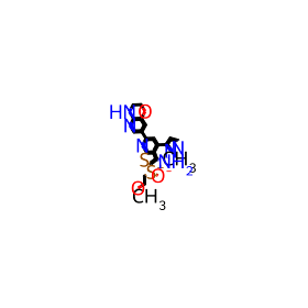 COCC[S+]([O-])c1sc2nc(-c3cnc4c(c3)OCCN4)cc(-c3ccnn3C)c2c1N